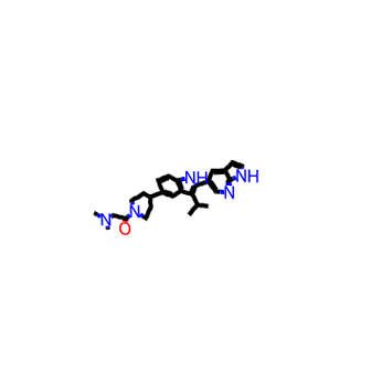 CC(C)c1c(-c2cnc3[nH]ccc3c2)[nH]c2ccc(C3CCN(C(=O)CN(C)C)CC3)cc12